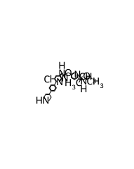 CC(=O)NC(C)(C)c1ccc(Oc2nc3nc(-c4ccc(C5=CCNCC5)cc4)c(Cl)cc3[nH]2)cn1